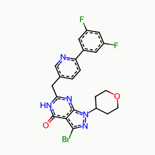 O=c1[nH]c(Cc2ccc(-c3cc(F)cc(F)c3)nc2)nc2c1c(Br)nn2C1CCOCC1